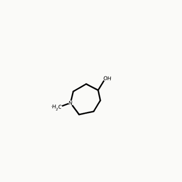 [CH2]N1CCCC(O)CC1